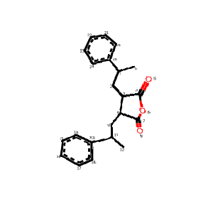 CC(CC1C(=O)OC(=O)C1CC(C)c1ccccc1)c1ccccc1